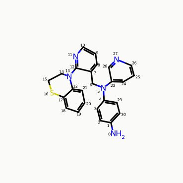 Nc1ccc(N(Cc2cccnc2N2CCSc3ccccc32)c2cccnc2)cc1